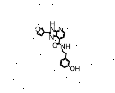 O=C(NCCc1cccc(O)c1)c1ccnc2[nH]c(-c3ccoc3)nc12